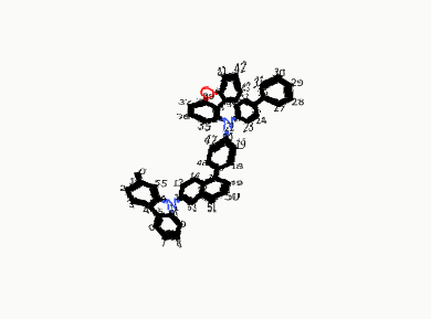 Cc1ccc2c3ccccc3n(-c3ccc4c(-c5ccc(N(c6ccc(-c7ccccc7)cc6)c6cccc7oc8ccccc8c67)cc5)cccc4c3)c2c1